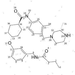 CCCC(=O)NCc1cccc(O[C@H]2CC[C@H](C(=O)N(C)c3ccc(CN4CCN[C@@H](C)C4)c(C)c3)CC2)c1